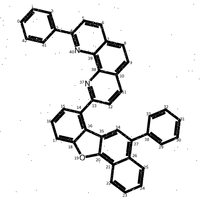 c1ccc(-c2ccc3ccc4ccc(-c5cccc6oc7c8ccccc8c(-c8ccccc8)cc7c56)nc4c3n2)cc1